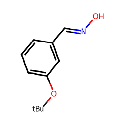 CC(C)(C)Oc1cccc(C=NO)c1